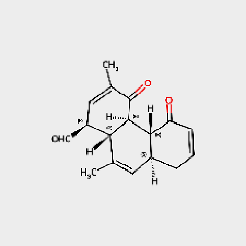 CC1=C[C@H](C=O)[C@H]2C(C)=C[C@@H]3CC=CC(=O)[C@H]3[C@@H]2C1=O